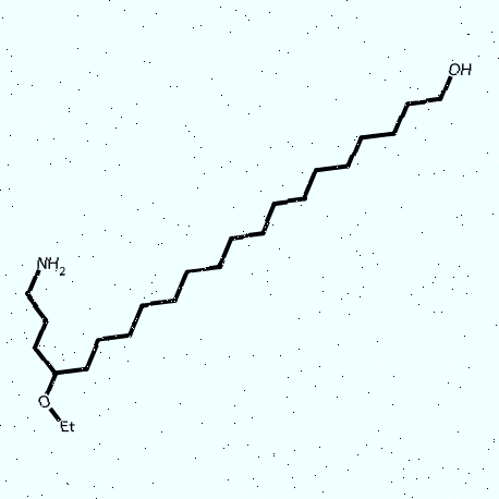 CCOC(CCCN)CCCCCCCCCCCCCCCCCO